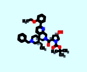 CCOc1ccccc1-c1ccc2c(n1)CN(C(=O)[C@H]1C[C@H](O)CN1C(=O)OC(C)(C)C)C[C@]21CCN(Cc2ccccc2)C[C@H]1CC